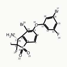 CC1(F)[C@H](N)c2c(ccc(Oc3cc(F)cc(Br)c3)c2Br)S1(=O)=O